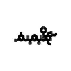 CCc1nc2c(cnn2CC)c(NC2CCOCC2)c1CNC(=O)c1cccc(C(=O)NCc2cc(C)cc(Br)c2)c1